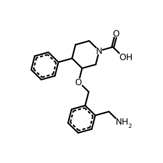 NCc1ccccc1COC1CN(C(=O)O)CCC1c1ccccc1